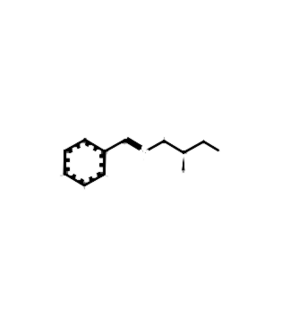 O[C@H](CCl)C/N=C/c1ccccc1